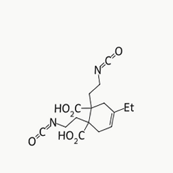 CCC1=CCC(CCN=C=O)(C(=O)O)C(CCN=C=O)(C(=O)O)C1